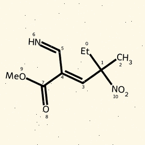 CCC(C)(/C=C(\C=N)C(=O)OC)[N+](=O)[O-]